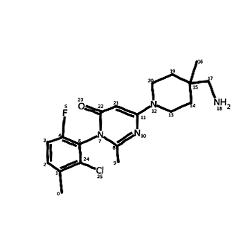 Cc1ccc(F)c(-n2c(C)nc(N3CCC(C)(CN)CC3)cc2=O)c1Cl